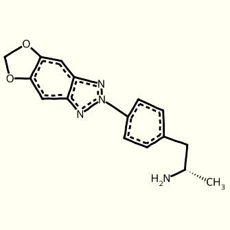 C[C@H](N)Cc1ccc(-n2nc3cc4c(cc3n2)OCO4)cc1